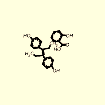 CC/C(=C(/CC)c1ccc(O)cc1)c1ccc(O)cc1.O=C(O)c1ccccc1O